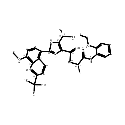 CCOc1ccccc1NC(=O)[C@@H](C)NC(=O)c1nc(-c2ccc(OC)c3nc(C(F)(F)F)ccc23)oc1[C@H](C)N